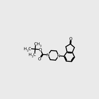 CC(C)(C)OC(=O)N1CCN(c2cccc3c2CC(=O)C3)CC1